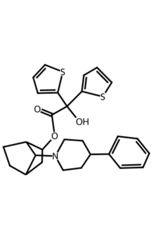 O=C(OC1CC2CCC1C2N1CCC(c2ccccc2)CC1)C(O)(c1cccs1)c1cccs1